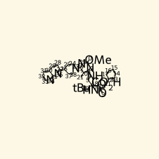 COc1nc(NCC(NC(=O)OCc2ccccc2)(C(=O)O)C(C)(C)C)c(C)c(N2CCC(c3ccc4cccnc4n3)CC2)n1